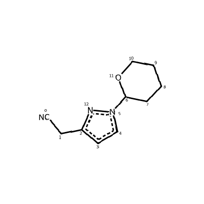 N#CCc1ccn(C2CCCCO2)n1